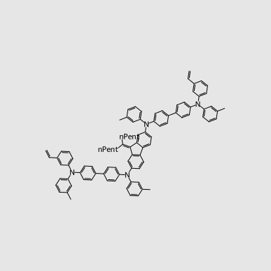 C=Cc1cccc(N(c2ccc(-c3ccc(N(c4cccc(C)c4)c4ccc5c(c4)C(=C(CCCCC)CCCCC)c4cc(N(c6ccc(-c7ccc(N(c8cccc(C)c8)c8cccc(C=C)c8)cc7)cc6)c6cccc(C)c6)ccc4-5)cc3)cc2)c2cccc(C)c2)c1